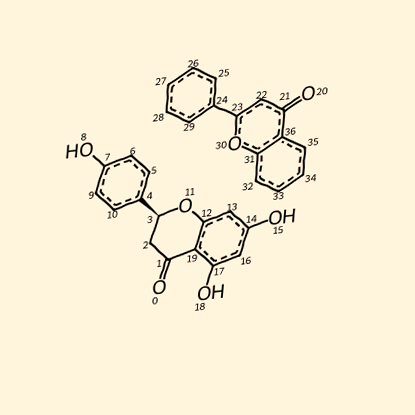 O=C1C[C@@H](c2ccc(O)cc2)Oc2cc(O)cc(O)c21.O=c1cc(-c2ccccc2)oc2ccccc12